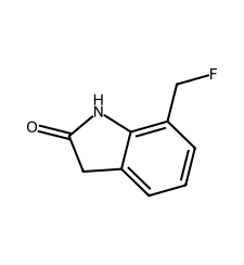 O=C1Cc2cccc(CF)c2N1